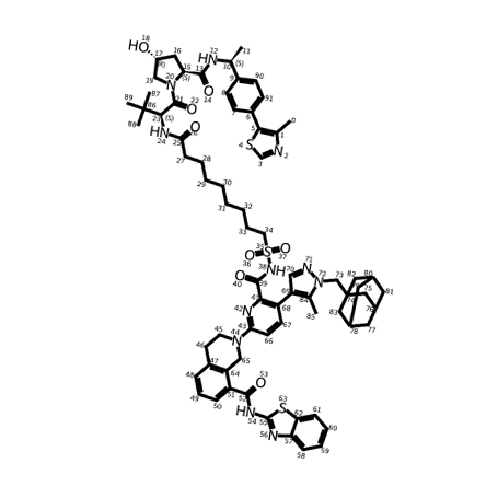 Cc1ncsc1-c1ccc([C@H](C)NC(=O)[C@@H]2C[C@@H](O)CN2C(=O)[C@@H](NC(=O)CCCCCCCCS(=O)(=O)NC(=O)c2nc(N3CCc4cccc(C(=O)Nc5nc6ccccc6s5)c4C3)ccc2-c2cnn(CC34CC5CC(CC(C5)C3)C4)c2C)C(C)(C)C)cc1